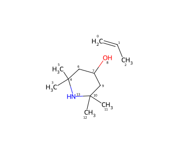 C=CC.CC1(C)CC(O)CC(C)(C)N1